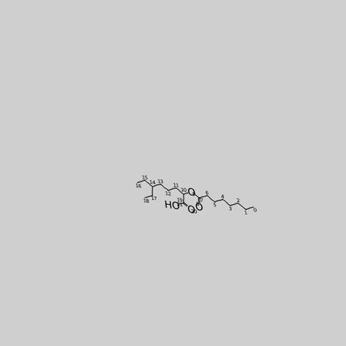 CCCCCCCC(=O)OC(CCCC(CC)CC)C(=O)O